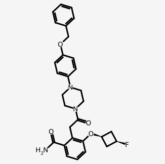 NC(=O)c1cccc(O[C@H]2C[C@@H](F)C2)c1CC(=O)N1CCN(c2ccc(OCc3ccccc3)cc2)CC1